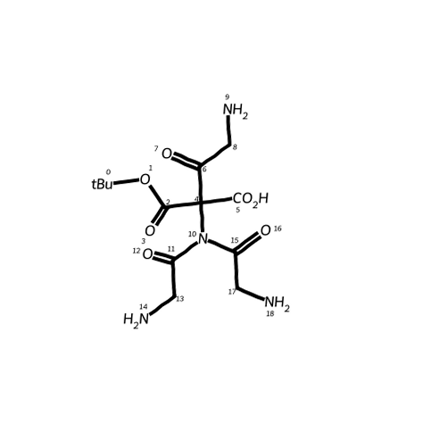 CC(C)(C)OC(=O)C(C(=O)O)(C(=O)CN)N(C(=O)CN)C(=O)CN